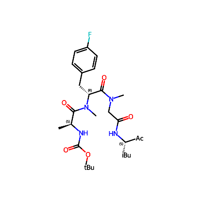 CCC(C)[C@H](NC(=O)CN(C)C(=O)[C@@H](Cc1ccc(F)cc1)N(C)C(=O)[C@H](C)NC(=O)OC(C)(C)C)C(C)=O